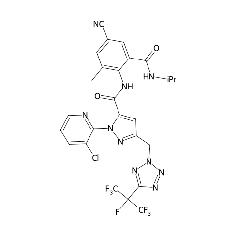 Cc1cc(C#N)cc(C(=O)NC(C)C)c1NC(=O)c1cc(Cn2nnc(C(F)(C(F)(F)F)C(F)(F)F)n2)nn1-c1ncccc1Cl